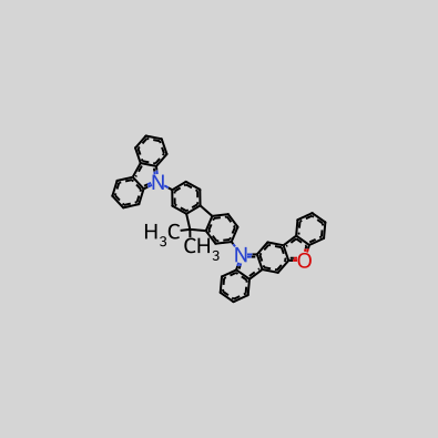 CC1(C)c2cc(-n3c4ccccc4c4ccccc43)ccc2-c2ccc(-n3c4ccccc4c4cc5oc6ccccc6c5cc43)cc21